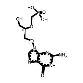 Nc1nc2c(ncn2OC[C@@H](CO)OCP(=O)(O)O)c(=O)[nH]1